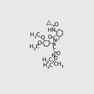 CCOc1cc([C@@H](CCC(=O)[N]OC(C)(C)C)N2Cc3cccc(NC(=O)C4CC4)c3C2=O)ccc1OC